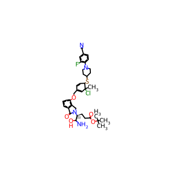 CC(C)(C)OC(=O)CC[C@@H](C(N)O)N1Cc2c(OCC3=CC(C)(Cl)C(SC4CCN(c5ccc(C#N)cc5F)CC4)C=C3)cccc2C1=O